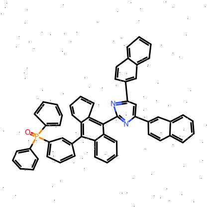 O=P(c1ccccc1)(c1ccccc1)c1cccc(-c2c3ccccc3c(-c3nc(-c4ccc5ccccc5c4)cc(-c4ccc5ccccc5c4)n3)c3ccccc23)c1